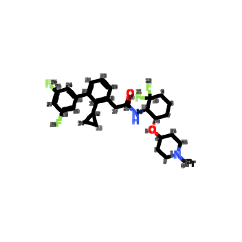 CC(C)N1CCC(O[C@H]2CCCC(F)(F)[C@@H]2NC(=O)Cc2cccc(-c3cc(F)cc(F)c3)c2C2CC2)CC1